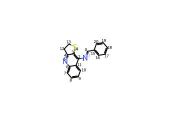 C(=N\c1c2c(nc3ccccc13)CCS2)/c1ccccc1